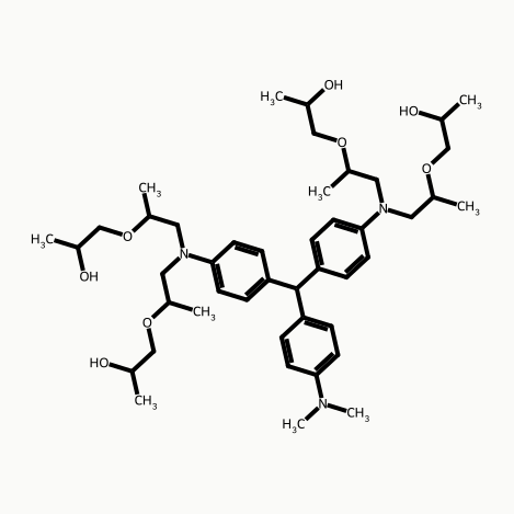 CC(O)COC(C)CN(CC(C)OCC(C)O)c1ccc(C(c2ccc(N(C)C)cc2)c2ccc(N(CC(C)OCC(C)O)CC(C)OCC(C)O)cc2)cc1